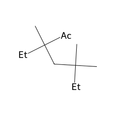 CCC(C)(C)CC(C)(CC)C(C)=O